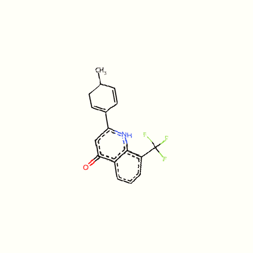 CC1C=CC(c2cc(=O)c3cccc(C(F)(F)F)c3[nH]2)=CC1